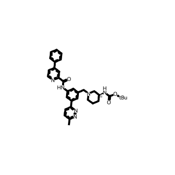 Cc1ccc(-c2cc(CN3CCC[C@H](NC(=O)OC(C)(C)C)C3)cc(NC(=O)c3cc(-c4ccccc4)ccn3)c2)nn1